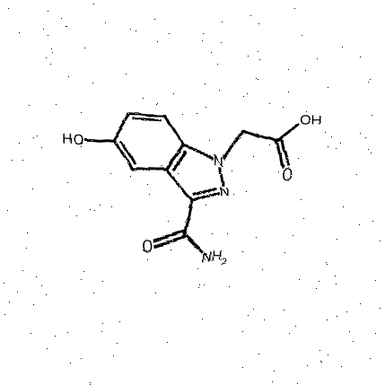 NC(=O)c1nn(CC(=O)O)c2ccc(O)cc12